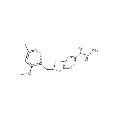 COc1cc(C)ccc1CN1Cc2ccc(C(=O)C(=O)O)cc2C1